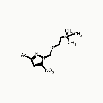 CC(=O)c1cc([N+](=O)[O-])n(COCC[Si](C)(C)C)n1